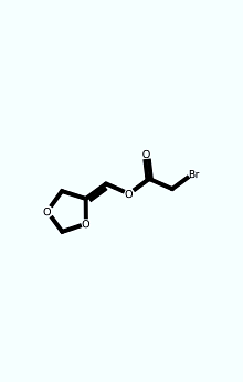 O=C(CBr)OC=C1COCO1